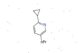 CCCc1ccc(C2CC2)nc1